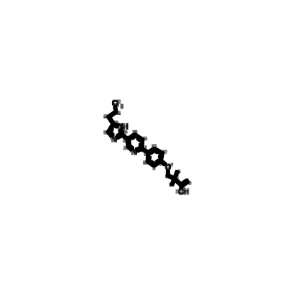 C=C(O)C(C)(C)COc1ccc(-c2ccc(-c3ncc(CCC(F)(F)F)[nH]3)cn2)cc1